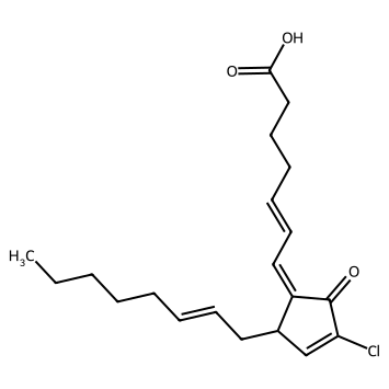 CCCCCC=CCC1C=C(Cl)C(=O)C1=CC=CCCCC(=O)O